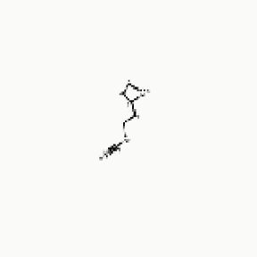 N#CSCCC1CCO1